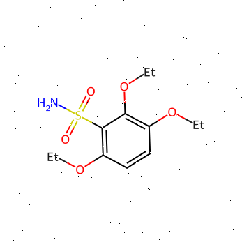 CCOc1ccc(OCC)c(S(N)(=O)=O)c1OCC